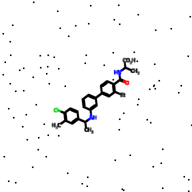 CCc1cc(-c2cccc(NC(C)c3ccc(Cl)c(C)c3)c2)ccc1C(=O)NC(C)C(=O)O